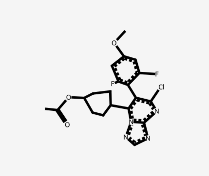 COc1cc(F)c(-c2c(Cl)nc3ncnn3c2C2CCC(OC(C)=O)CC2)c(F)c1